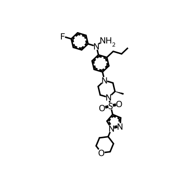 CCCc1cc(N2CCN(S(=O)(=O)c3cnn(C4CCOCC4)c3)[C@H](C)C2)ccc1N(N)c1ccc(F)cc1